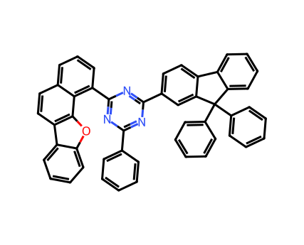 c1ccc(-c2nc(-c3ccc4c(c3)C(c3ccccc3)(c3ccccc3)c3ccccc3-4)nc(-c3cccc4ccc5c6ccccc6oc5c34)n2)cc1